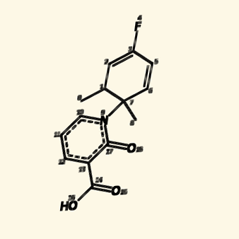 CC1C=C(F)C=CC1(C)n1cccc(C(=O)O)c1=O